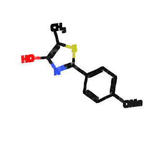 COc1ccc(-c2nc(O)c(C)s2)cc1